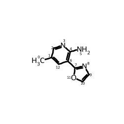 Cc1cnc(N)c(-c2ncco2)c1